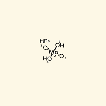 F.[O]=[Mo](=[O])([OH])[OH]